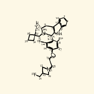 C[C@@H]1Cc2c([nH]c3ccccc23)[C@@H](c2c(F)cc(OCCN3CC(CF)C3)cc2F)N1CC1(F)CCC1